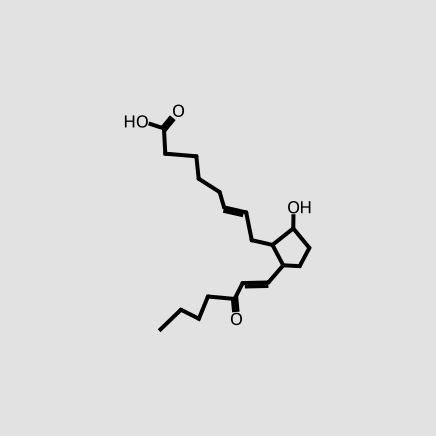 CCCCC(=O)/C=C/C1CCC(O)C1C/C=C/CCCCC(=O)O